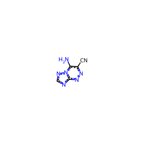 N#Cc1nnc2ncnn2c1N